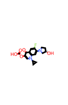 O=C(O)Oc1cn(C2CC2)c2cc(N3CC[C@H](O)C3)c(F)cc2c1=O